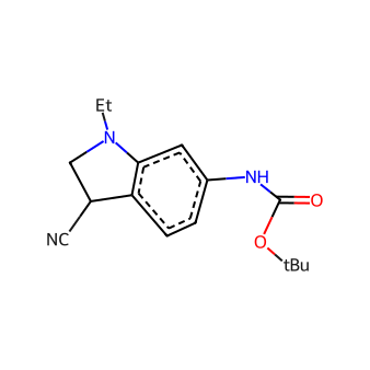 CCN1CC(C#N)c2ccc(NC(=O)OC(C)(C)C)cc21